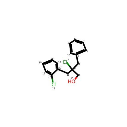 OCC(Cl)(Cc1ccccc1)Cc1ccccc1Cl